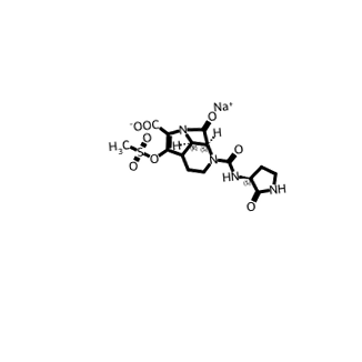 CS(=O)(=O)OC1=C(C(=O)[O-])N2C(=O)[C@@H]3[C@H]2C1CCN3C(=O)N[C@H]1CCNC1=O.[Na+]